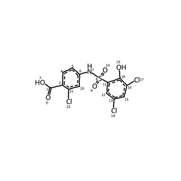 O=C(O)c1ccc(NS(=O)(=O)c2cc(Cl)cc(Cl)c2O)cc1Cl